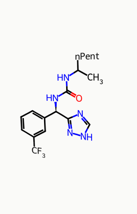 CCCCCC(C)NC(=O)N[C@H](c1cccc(C(F)(F)F)c1)c1nc[nH]n1